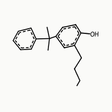 CCCCc1cc(C(C)(C)c2ccccc2)ccc1O